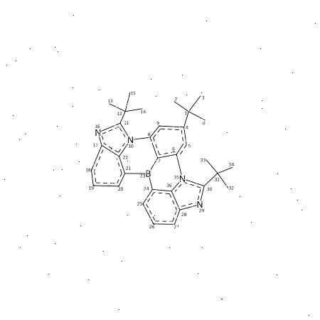 CC(C)(C)c1cc2c3c(c1)-n1c(C(C)(C)C)nc4cccc(c41)B3c1cccc3nc(C(C)(C)C)n-2c13